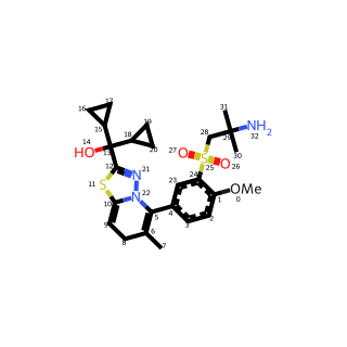 COc1ccc(C2=C(C)CC=C3SC(C(O)(C4CC4)C4CC4)=NN32)cc1S(=O)(=O)CC(C)(C)N